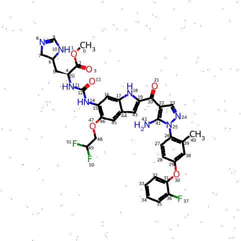 COC(=O)[C@H](CC1CN=CN1)NC(=O)Nc1cc2[nH]c(C(=O)c3cnn(-c4ccc(Oc5ccccc5F)cc4C)c3N)cc2cc1OCC(F)F